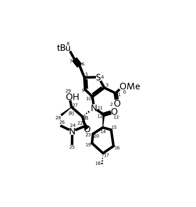 COC(=O)c1sc(C#CC(C)(C)C)cc1N(C(=O)[C@H]1CC[C@H](C)CC1)[C@H](C(=O)N(C)C)[C@@H](C)O